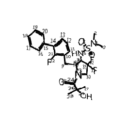 CN(C)S(=O)(=O)N[C@@H]1[C@H](Cc2cccc(-c3ccccc3)c2F)N(C(=O)C(C)(C)O)CC1(F)F